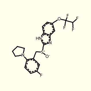 [O-][S+](Cc1cc(F)ccc1N1CCCC1)c1nc2cc(OC(F)(F)C(F)F)ccc2[nH]1